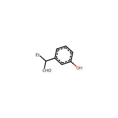 CCC(C=O)c1cccc(O)c1